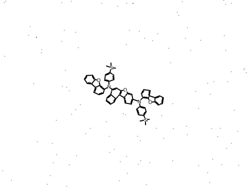 C[Si](C)(C)c1ccc(N(c2ccc3c(c2)oc2cc(N(c4ccc([Si](C)(C)C)cc4)c4cccc5c4oc4ccccc45)c4ccccc4c23)c2cccc3c2oc2ccccc23)cc1